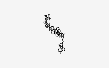 Cc1cc(S(=O)(=O)NC(=O)c2ccc(-n3ccc(OCCC4(C(F)(F)F)CC4)n3)nc2Cl)nn1CCCC1CN(C(=O)OC(C)(C)C)C(C)(C)C1